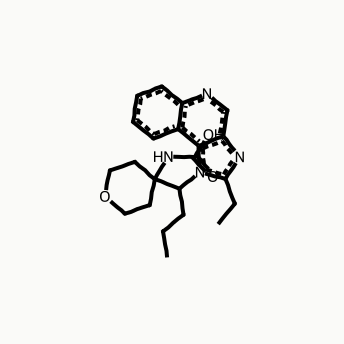 CCCC(n1c(CC)nc2cnc3ccccc3c21)C1(NC(=O)O)CCOCC1